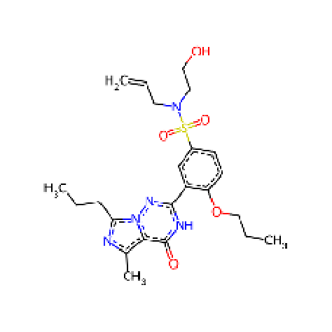 C=CCN(CCO)S(=O)(=O)c1ccc(OCCC)c(-c2nn3c(CCC)nc(C)c3c(=O)[nH]2)c1